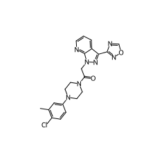 Cc1cc(N2CCN(C(=O)Cn3nc(-c4ncon4)c4cccnc43)CC2)ccc1Cl